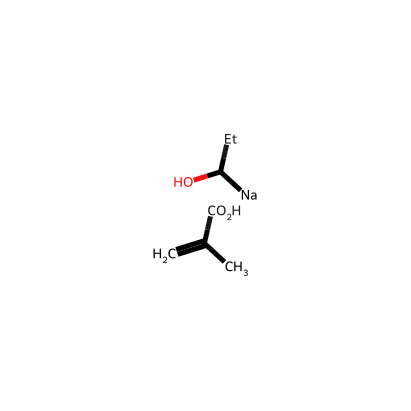 C=C(C)C(=O)O.CC[CH](O)[Na]